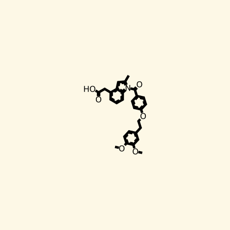 COc1ccc(CCOc2ccc(C(=O)n3c(C)cc4c(CC(=O)O)cccc43)cc2)cc1OC